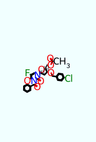 CC(=O)OC[C@@H]1O[C@H](n2cc(F)c(=O)n(C(=O)c3ccccc3)c2=O)CC1OCc1ccc(Cl)cc1